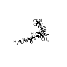 CCC(CC)(N=CSCC(=O)COCOC)P(=O)(O)OC(=O)OCC(Cl)(Cl)Cl